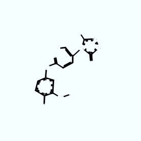 C=C(/C=C\C(=C/C)n1c(C)n[nH]c1=O)Oc1ccc(C)c(OC)c1